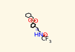 O=C(NC/C=C/c1cccc(S(=O)(=O)CC2CCCCC2)c1)C(F)(F)F